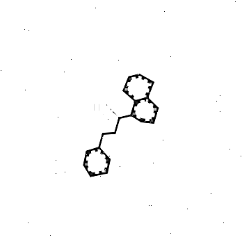 N[C@H](CCc1ccccc1)c1cccc2ccccc12